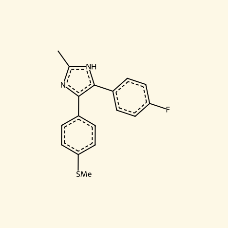 CSc1ccc(-c2nc(C)[nH]c2-c2ccc(F)cc2)cc1